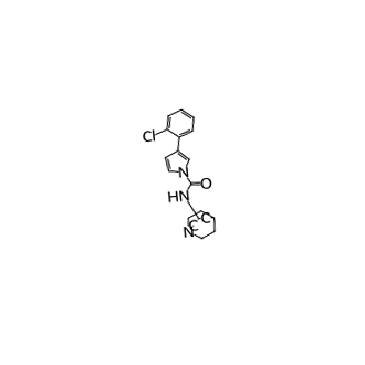 O=C(NC1CC2CCN(CC2)C1)n1ccc(-c2ccccc2Cl)c1